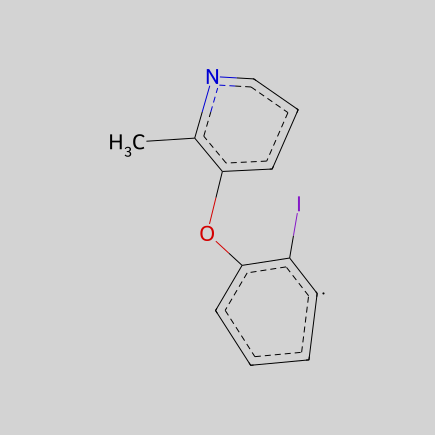 Cc1ncccc1Oc1ccc[c]c1I